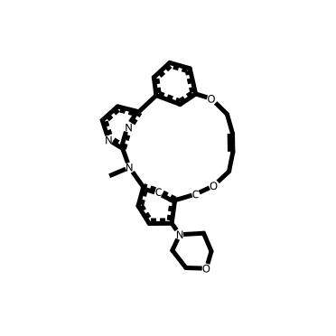 CN1c2ccc(N3CCOCC3)c(c2)COC/C=C\COc2cccc(c2)-c2ccnc1n2